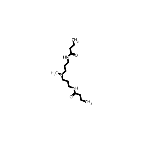 CCCC(=O)NCCCN(C)CCCNC(=O)CCC